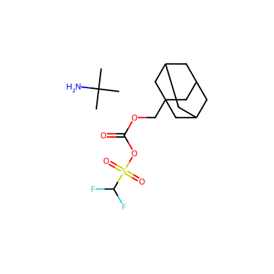 CC(C)(C)N.O=C(OCC12CC3CC(CC(C3)C1)C2)OS(=O)(=O)C(F)F